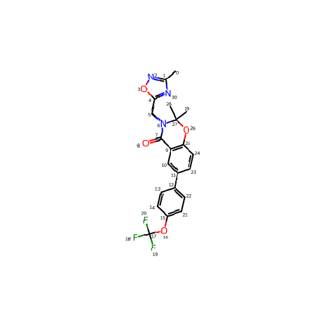 Cc1noc(CN2C(=O)c3cc(-c4ccc(OC(F)(F)F)cc4)ccc3OC2(C)C)n1